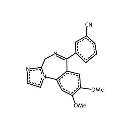 COc1cc2c(cc1OC)-n1ccnc1CN=C2c1cccc(C#N)c1